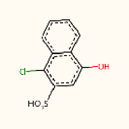 O=S(=O)(O)c1cc(O)c2ccccc2c1Cl